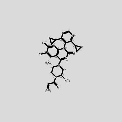 C=CC(=O)N1C[C@H](C)N(c2nc(=O)n(-c3c(C4CC4)ncnc3C3CC3)c3nc(Cl)c(Cl)cc23)C[C@H]1C